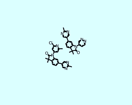 Cc1cc(N2C(=O)C(C)(C)c3ccc(-c4cnc(C)nc4)cc32)cc(Cl)n1.Cc1ncc(-c2ccc3c(c2)N(c2ccnnc2)C(=O)C3(C)C)cn1